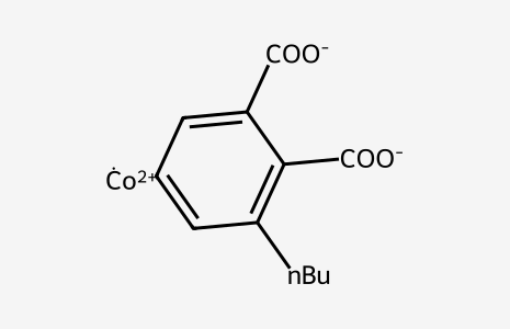 CCCCc1cccc(C(=O)[O-])c1C(=O)[O-].[Co+2]